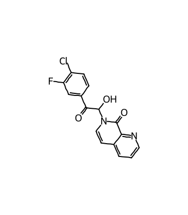 O=C(c1ccc(Cl)c(F)c1)C(O)n1ccc2cccnc2c1=O